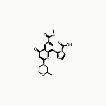 COC(=O)c1cc(-c2cccn2C(=O)O)c2oc(N3CCOC(C)C3)cc(=O)c2c1